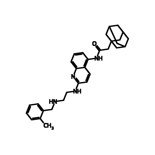 Cc1ccccc1CNCCNc1ccc2c(NC(=O)CC34CC5CC(CC(C5)C3)C4)cccc2n1